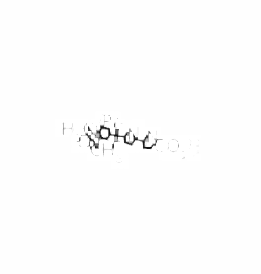 CC(C)c1cc(C(F)(F)c2ccc(-c3ccc(C(=O)O)nc3)nc2)cc2c1n(C)c(=O)n2C